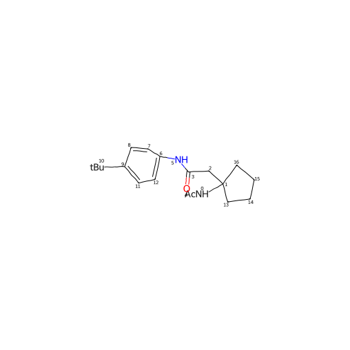 CC(=O)NC1(CC(=O)Nc2ccc(C(C)(C)C)cc2)CCCC1